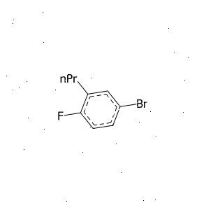 CCCc1cc(Br)ccc1F